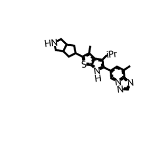 Cc1c(C2CC3CNCC3C2)sc2[nH]c(-c3cc(C)c4ncnn4c3)c(C(C)C)c12